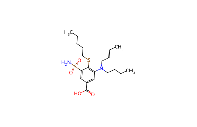 CCCCCSc1c(N(CCCC)CCCC)cc(C(=O)O)cc1S(N)(=O)=O